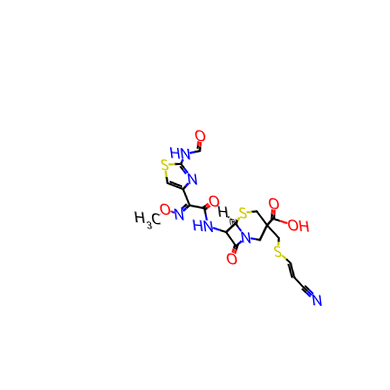 CON=C(C(=O)NC1C(=O)N2CC(CSC=CC#N)(C(=O)O)CS[C@H]12)c1csc(NC=O)n1